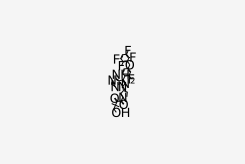 CC(C)(CO)C(=O)C(=O)N1CCC(n2nc(-c3ccc(Oc4c(F)c(F)cc(F)c4F)cc3F)c3c(N)ncnc32)C1